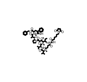 CCC(C)C(C(CC(=O)N1CCC[C@H]1C(OC)C(C)C(=O)NC(Cc1c[nH]c2ccccc12)C(=O)OCc1ccccc1)OC)N(C)C(=O)C(NC(=O)C(C(C)C)N(C)CCCC(=O)NNC(=O)CCCCCN1C(=O)C=CC1=O)C(C)C